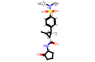 CC1[C@@H](C(=O)NC2CCCC2=O)[C@]1(C)c1ccc(S(=O)(=O)N(C(=O)O)C(C)(C)C)cc1